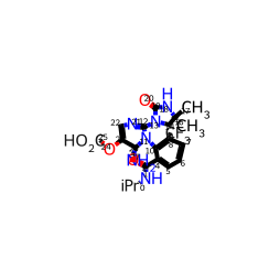 CC(C)NC(=O)c1cccc(C(F)(F)F)c1N1C(N2CC(C)(C)NC2=O)=NC=C(OC(=O)O)C1N